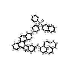 O=P(c1ccccc1)(c1ccc2cccnc2c1)c1ccc(-c2ccc3c(ccc4c5ccccc5c5nc6ccc(CC7=CC=C8C=CC9=C%10C(=CC=C7C8%10)CC=C9)cc6n5c34)c2)cn1